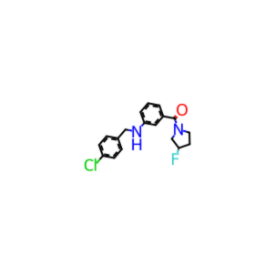 O=C(c1cccc(NCc2ccc(Cl)cc2)c1)N1CC[C@@H](F)C1